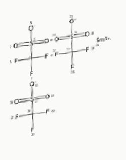 O=S(=O)([O-])C(F)(F)F.O=S(=O)([O-])C(F)(F)F.O=S(=O)([O-])C(F)(F)F.[Sm+3]